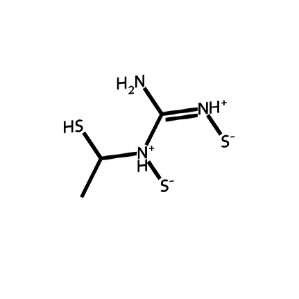 CC(S)[NH+]([S-])/C(N)=[NH+]\[S-]